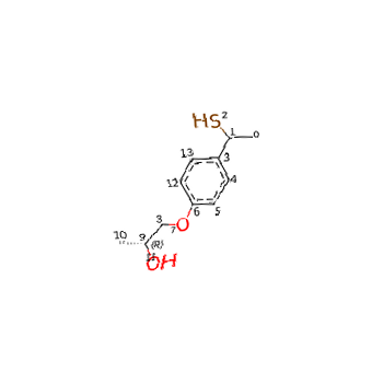 CC(S)c1ccc(OC[C@@H](C)O)cc1